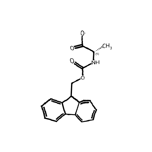 C[C@H](NC(=O)OCC1c2ccccc2-c2ccccc21)C([O])=O